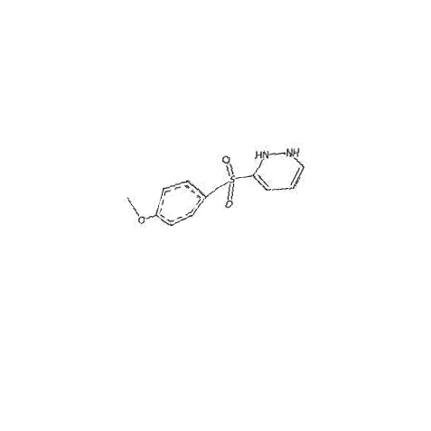 COc1ccc(S(=O)(=O)C2=CC=CNN2)cc1